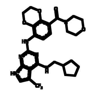 O=C(c1ccc(Nc2nc(NCC3CCCC3)c3c(C(F)(F)F)c[nH]c3n2)c2c1OCCO2)N1CCOCC1